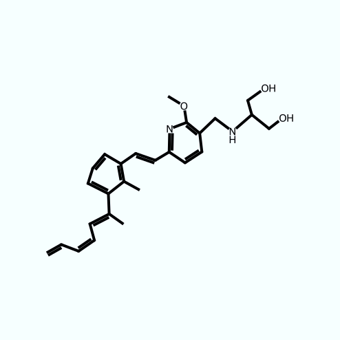 C=C/C=C\C=C(/C)c1cccc(/C=C/c2ccc(CNC(CO)CO)c(OC)n2)c1C